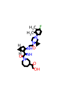 Cc1c(F)ccc(N2CCN(C(=O)CNC3=C(C(=N)C(=O)N4CCCCC(C(=O)CO)CC4)[C@@H]4C[C@@H]4C3)C3(CC3)C2)c1C